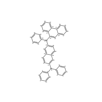 c1ccc(N(c2ccccc2)c2ccc3cc(N(c4ccccc4)c4cc5ccccc5c5ccccc45)ccc3c2)cc1